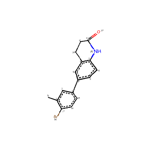 Cc1cc(-c2ccc3c(c2)CCC(=O)N3)ccc1Br